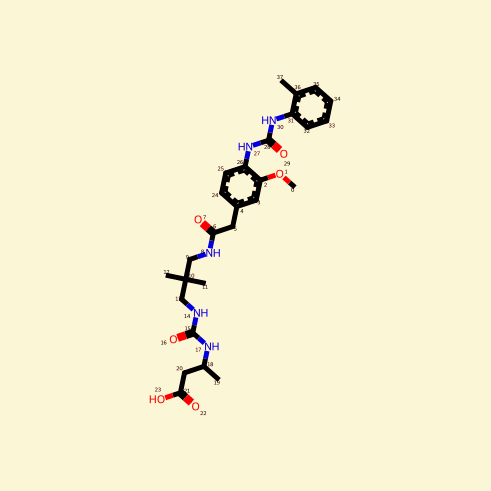 COc1cc(CC(=O)NCC(C)(C)CNC(=O)NC(C)CC(=O)O)ccc1NC(=O)Nc1ccccc1C